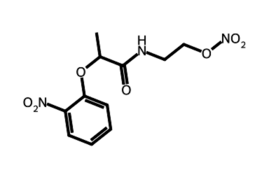 CC(Oc1ccccc1[N+](=O)[O-])C(=O)NCCO[N+](=O)[O-]